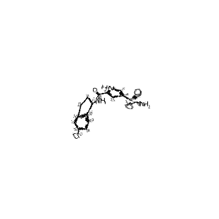 NS(=O)(=O)c1c[nH]c(C(=O)N[C@@H]2CCc3cc(Cl)ccc32)c1